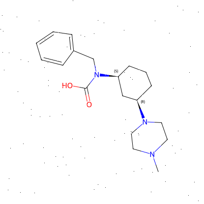 CN1CCN([C@@H]2CCC[C@H](N(Cc3ccccc3)C(=O)O)C2)CC1